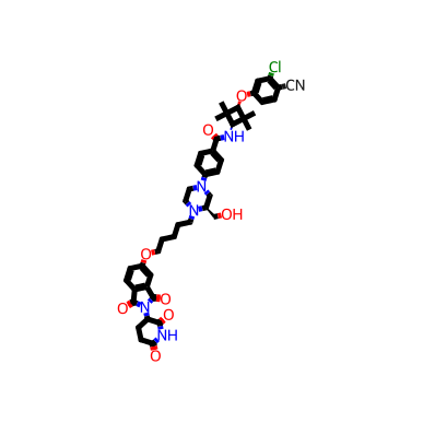 CC1(C)[C@H](NC(=O)c2ccc(N3CCN(CCCCCOc4ccc5c(c4)C(=O)N(C4CCC(=O)NC4=O)C5=O)[C@H](CO)C3)cc2)C(C)(C)[C@H]1Oc1ccc(C#N)c(Cl)c1